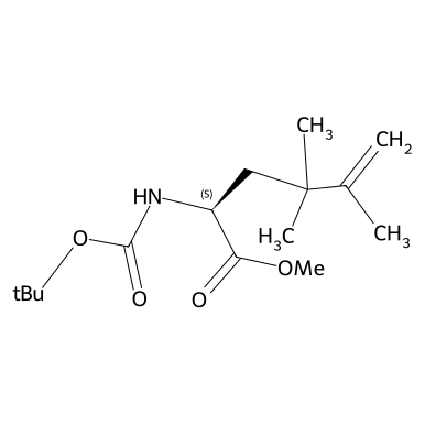 C=C(C)C(C)(C)C[C@H](NC(=O)OC(C)(C)C)C(=O)OC